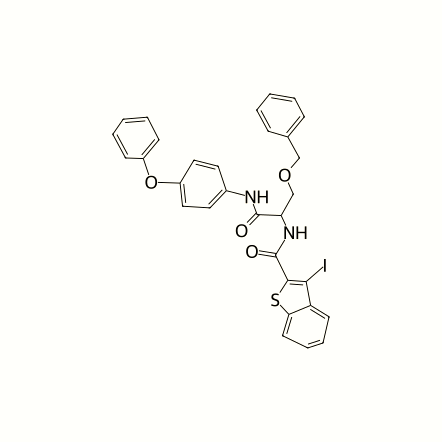 O=C(NC(COCc1ccccc1)C(=O)Nc1ccc(Oc2ccccc2)cc1)c1sc2ccccc2c1I